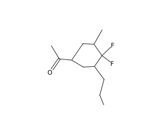 CCCC1CC(C(C)=O)CC(C)C1(F)F